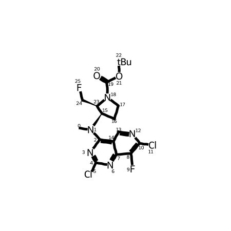 CN(c1nc(Cl)nc2c(F)c(Cl)ncc12)[C@@H]1CCN(C(=O)OC(C)(C)C)[C@@H]1CF